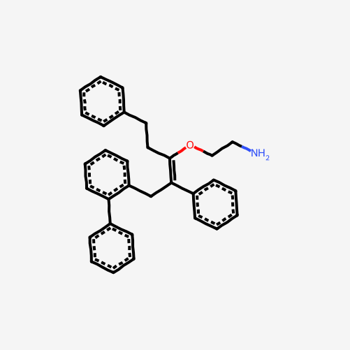 NCCO/C(CCc1ccccc1)=C(/Cc1ccccc1-c1ccccc1)c1ccccc1